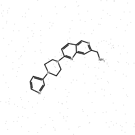 NCc1cc2nc(N3CCN(c4cccnc4)CC3)ccc2cn1